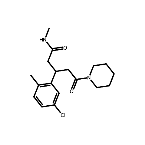 CNC(=O)CC(CC(=O)N1CCCCC1)c1cc(Cl)ccc1C